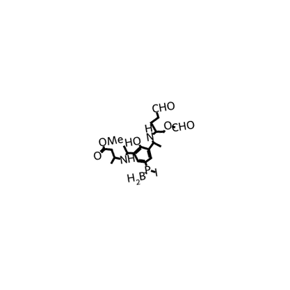 BP(I)c1cc(C(C)NC(C)CC(=O)OC)c(O)c(C(C)NC(CCC=O)COC=O)c1